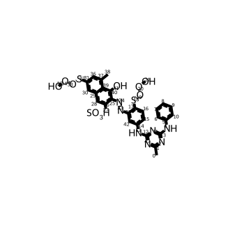 Cc1nc(Nc2ccccc2)nc(Nc2ccc(SOOO)c(N=Nc3c(S(=O)(=O)O)cc4cc(SOOO)cc(C)c4c3O)c2)n1